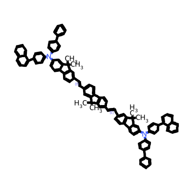 CC1(C)c2cc(/C=C/c3ccc4c(c3)C(C)(C)c3cc(N(C5=CCC(c6cccc7ccccc67)C=C5)c5ccc(-c6ccccc6)cc5)ccc3-4)ccc2-c2ccc(/C=C/c3ccc4c(c3)C(C)(C)c3cc(N(c5ccc(-c6ccccc6)cc5)c5ccc(-c6cccc7ccccc67)cc5)ccc3-4)cc21